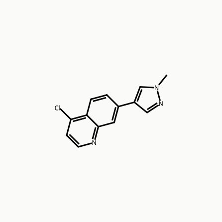 Cn1cc(-c2ccc3c(Cl)ccnc3c2)cn1